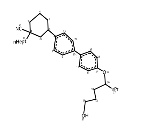 CCCCCCCC1(C#N)CCCC(c2ccc(-c3ccc(OC(CCC)CCCO)cc3)cc2)C1